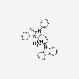 C=C(/C=C\c1c(C)n2c3ccccc3nc2n1-c1ccccc1)n1c2ccccc2c2ccccc21